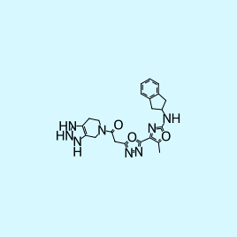 Cc1oc(NC2Cc3ccccc3C2)nc1-c1nnc(CC(=O)N2CCC3=C(C2)NNN3)o1